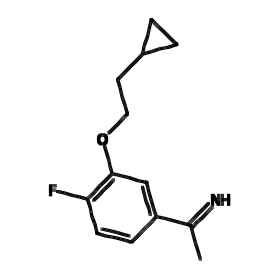 CC(=N)c1ccc(F)c(OCCC2CC2)c1